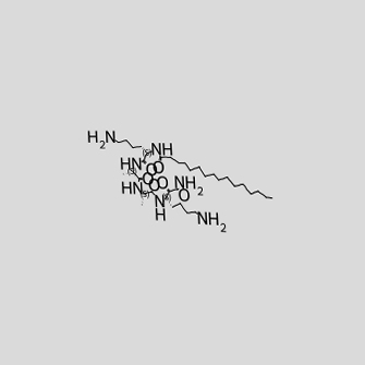 CCCCCCCCCCCCCCCC(=O)N[C@@H](CCCCN)C(=O)N[C@@H](C)C(=O)N[C@@H](C)C(=O)N[C@@H](CCCCN)C(=O)C(N)=O